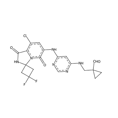 O=CC1(CNc2cc(Nc3cc(Cl)c4n(c3=O)C3(CC(F)(F)C3)NC4=O)ncn2)CC1